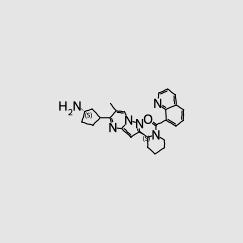 Cc1cn2nc([C@@H]3CCCCN3C(=O)c3cccc4cccnc34)cc2nc1C1CC[C@H](N)C1